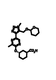 Cc1nc(-c2nnn(C)c2COC2CCCCO2)cnc1O[C@H]1CCC[C@H](C(=O)O)C1